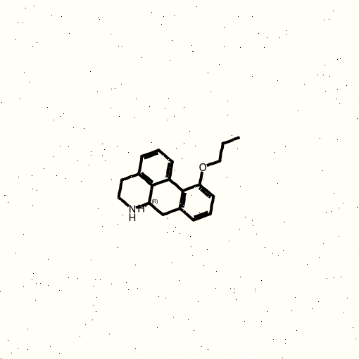 CCCOc1cccc2c1-c1cccc3c1[C@@H](C2)NCC3